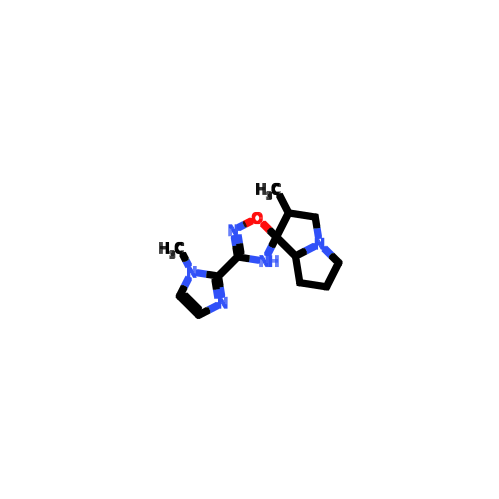 CC1CN2CCCC2C12NC(c1nccn1C)=NO2